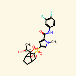 C[C@H](O)[C@@H](O)C1(O)C2CCC1CC(S(=O)(=O)c1cc(C(=O)Nc3ccc(F)c(F)c3)n(C)c1)C2